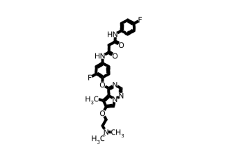 Cc1c(OCCN(C)C)cn2ncnc(Oc3ccc(NC(=O)CC(=O)Nc4ccc(F)cc4)cc3F)c12